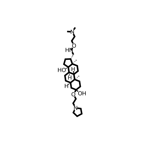 CN(C)CCONC[C@H]1CC[C@]2(O)[C@@H]3CC[C@@H]4C[C@@](O)(OCCN5CCCC5)CC[C@]4(C)[C@H]3CC[C@]12C